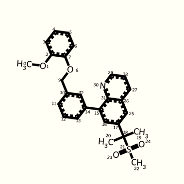 COc1ccccc1OCc1cccc(-c2cc(C(C)(C)S(C)(=O)=O)cc3cccnc23)c1